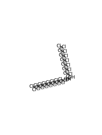 CC(=O)O.CO.ClC(Cl)Cl.ClC(Cl)Cl.ClC(Cl)Cl.ClC(Cl)Cl.ClC(Cl)Cl.ClC(Cl)Cl.ClC(Cl)Cl.ClC(Cl)Cl.ClC(Cl)Cl.ClC(Cl)Cl.ClC(Cl)Cl.ClC(Cl)Cl.ClC(Cl)Cl.ClC(Cl)Cl.ClC(Cl)Cl